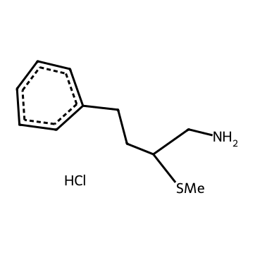 CSC(CN)CCc1ccccc1.Cl